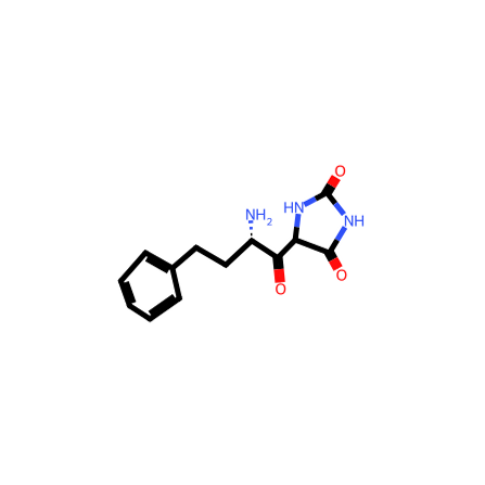 N[C@@H](CCc1ccccc1)C(=O)C1NC(=O)NC1=O